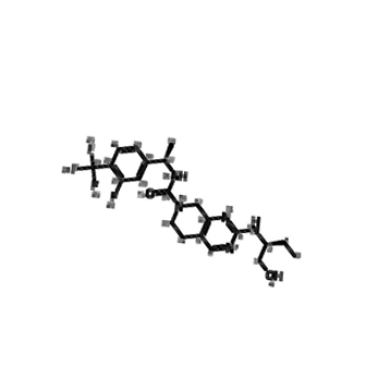 CC[C@@H](CO)Nc1ncc2c(n1)CN(C(=O)N[C@H](C)c1ccc(C(F)(F)F)c(F)c1)CC2